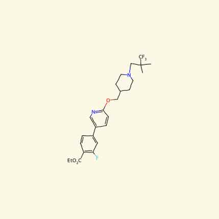 CCOC(=O)c1ccc(-c2ccc(OCC3CCN(CC(C)(C)C(F)(F)F)CC3)nc2)cc1F